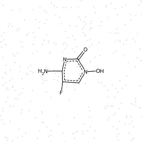 Nc1nc(=O)n(O)cc1F